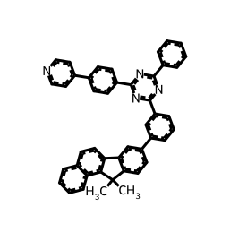 CC1(C)c2ccc(-c3cccc(-c4nc(-c5ccccc5)nc(-c5ccc(-c6ccncc6)cc5)n4)c3)cc2-c2ccc3ccccc3c21